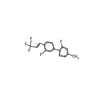 Cc1ccc(-c2ccc(/C=C/C(F)(F)F)c(F)c2)c(F)c1